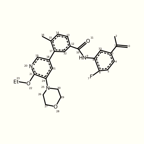 C=C(C)c1ccc(F)c(NC(=O)c2ccc(C)c(-c3cnc(OCC)c(N4CCOCC4)c3)c2)c1